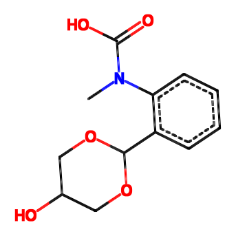 CN(C(=O)O)c1ccccc1C1OCC(O)CO1